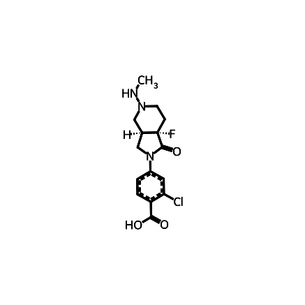 CNN1CC[C@@]2(F)C(=O)N(c3ccc(C(=O)O)c(Cl)c3)C[C@H]2C1